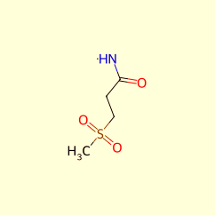 CS(=O)(=O)CCC([NH])=O